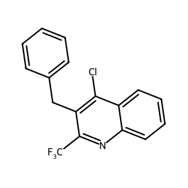 FC(F)(F)c1nc2ccccc2c(Cl)c1Cc1ccccc1